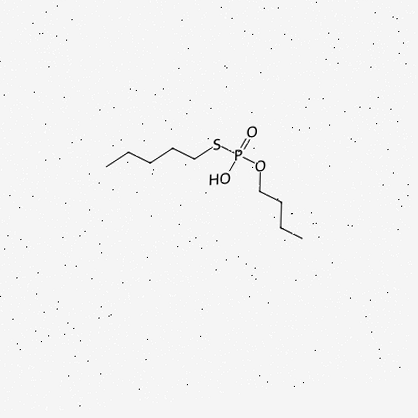 CCCCCSP(=O)(O)OCCCC